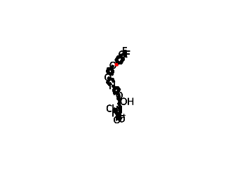 O=[N+]([O-])c1cn(CCC(O)COc2ccc(N3CCC(Oc4ccc(OCc5ccc(OC(F)(F)F)cc5)cc4)CC3)cc2)c(Cl)n1